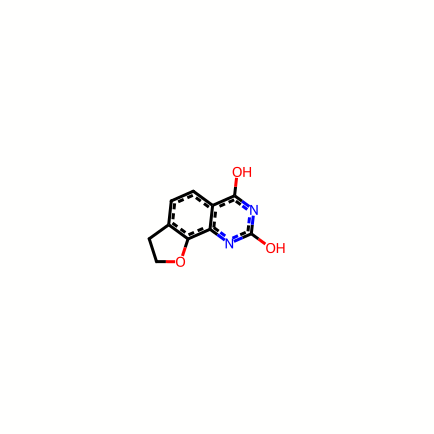 Oc1nc(O)c2ccc3c(c2n1)OCC3